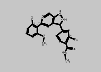 CNC(=O)c1ccc(C2NNc3cnc(-c4c(F)cccc4OC)cc32)cc1F